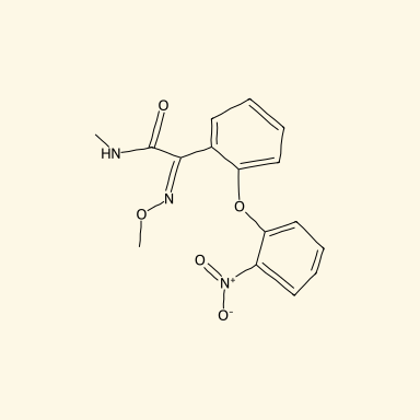 CNC(=O)/C(=N\OC)c1ccccc1Oc1ccccc1[N+](=O)[O-]